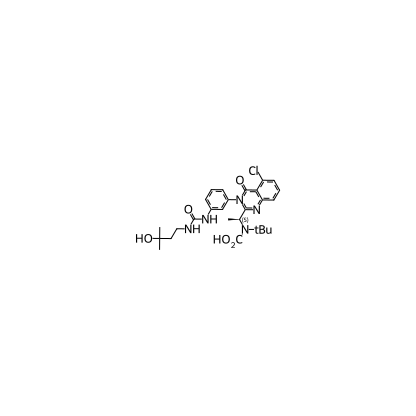 C[C@@H](c1nc2cccc(Cl)c2c(=O)n1-c1cccc(NC(=O)NCCC(C)(C)O)c1)N(C(=O)O)C(C)(C)C